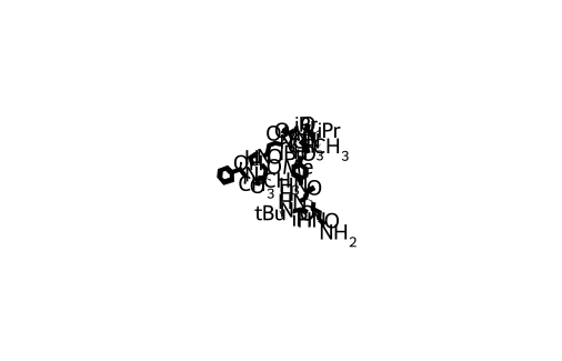 CC[C@H](C)[C@@H]([C@@H](CC(=O)N1CCC[C@H]1[C@H](OC)[C@H](C)C(=O)N[C@@H](C)[C@H](O)c1ccccc1)OC)N(C)C(=O)[C@@H](NC(=O)[C@H](C(C)C)N(C)C(=O)OCc1ccc(NC(=O)[C@H](CCCNC(N)=O)NC(=O)[C@@H](NC(C)(C)C)C(C)C)cc1)C(C)C